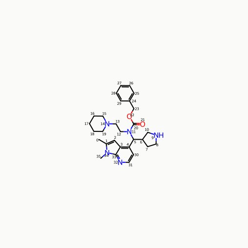 Cc1cc2c(C(C3CCNC3)N(CCN3CCCCC3)C(=O)OCc3ccccc3)ccnc2n1C